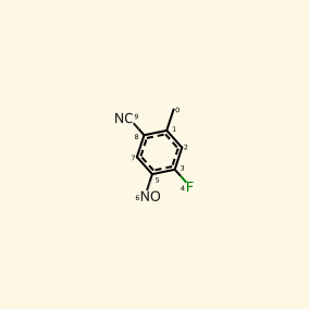 Cc1cc(F)c(N=O)cc1C#N